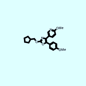 COc1ccc(-c2oc(OCC3CCCC3)nc2-c2ccc(OC)nc2)cc1